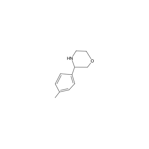 Cc1ccc(C2COCCN2)cc1